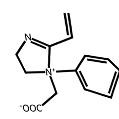 C=CC1=NCC[N+]1(CC(=O)[O-])c1ccccc1